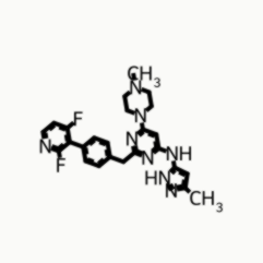 Cc1cc(Nc2cc(N3CCN(C)CC3)nc(Cc3ccc(-c4c(F)ccnc4F)cc3)n2)[nH]n1